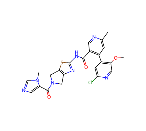 COc1cnc(Cl)cc1-c1cc(C)ncc1C(=O)Nc1nc2c(s1)CN(C(=O)c1cncn1C)C2